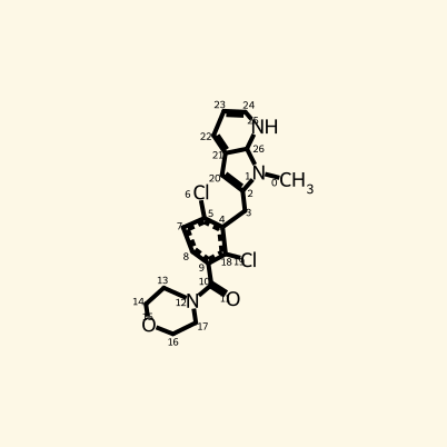 CN1C(Cc2c(Cl)ccc(C(=O)N3CCOCC3)c2Cl)=CC2=CC=CNC21